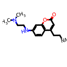 CNCCc1cc(=O)oc2cc(NCCN(C)C)ccc12